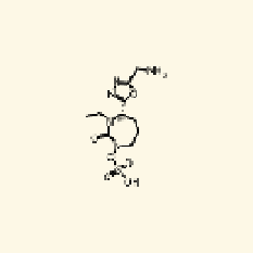 CCN1C(=O)N(OS(=O)(=O)O)CCC[C@H]1c1nnc(CN)o1